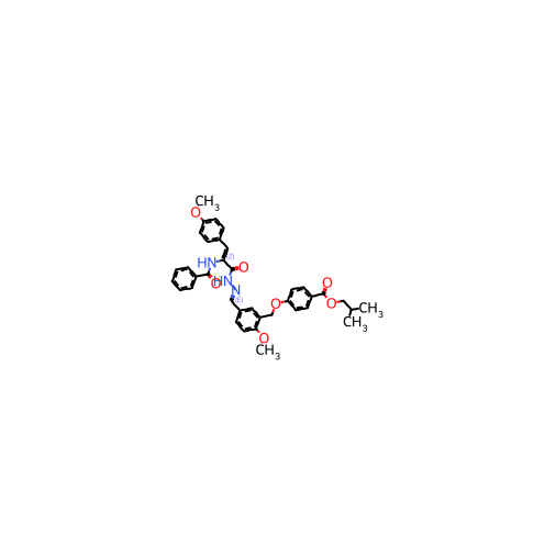 COc1ccc(/C=C(\NC(=O)c2ccccc2)C(=O)N/N=C/c2ccc(OC)c(COc3ccc(C(=O)OCC(C)C)cc3)c2)cc1